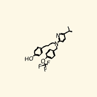 CC(C)c1ccc(N(CCCc2ccc(O)cc2)Cc2ccc(OC(F)(F)F)cc2)nc1